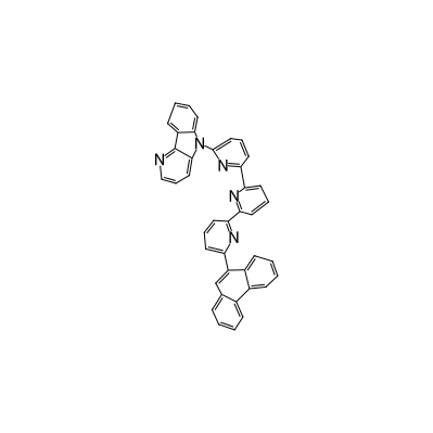 c1cc(-c2cccc(-c3cc4ccccc4c4ccccc34)n2)nc(-c2cccc(-n3c4ccccc4c4ncccc43)n2)c1